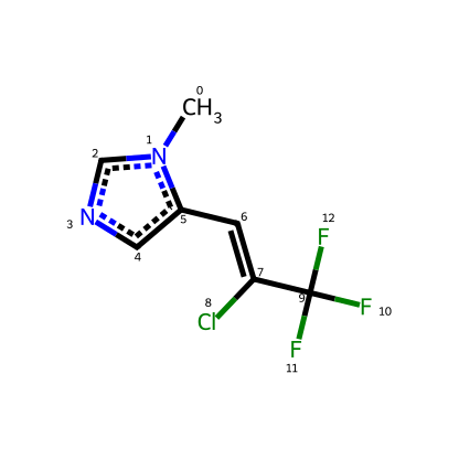 Cn1cncc1C=C(Cl)C(F)(F)F